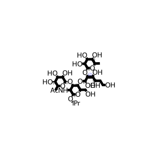 CC(=O)NC1C(O[C@@H]2OC(C)[C@@H](O)C(O)C2O)[C@H](O[C@H](O)/C(O[C@@H]2OC(C)[C@@H](O)C(O)C2O)=C(/O)[C@@H](O)CCO)C(CO)O[C@H]1OC(C)C